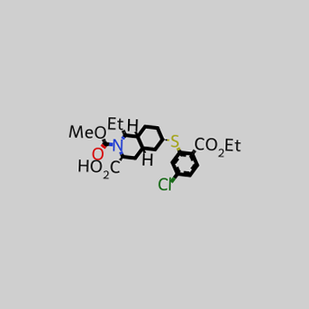 CCOC(=O)c1ccc(Cl)cc1S[C@H]1CC[C@H]2C(CC)N(C(=O)OC)[C@H](C(=O)O)C[C@H]2C1